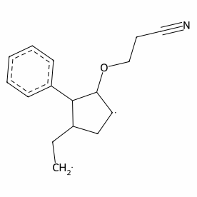 [CH2]CC1C[CH]C(OCCC#N)C1c1ccccc1